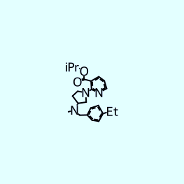 CCc1ccc(CN(C)[C@H]2CCN(c3ncccc3C(=O)OC(C)C)C2)cc1